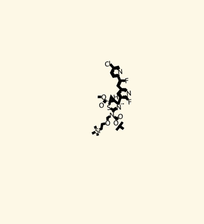 COC(=O)[C@]12C[C@H]1[C@@](C)(c1cc(/C=C(\F)c3ccc(Cl)cn3)cnc1F)N=C(N(COCC[Si](C)(C)C)C(=O)OC(C)(C)C)S2